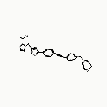 CC(O)c1nccn1Cc1cc(-c2ccc(C#Cc3ccc(CN4CCOCC4)cc3)cc2)no1